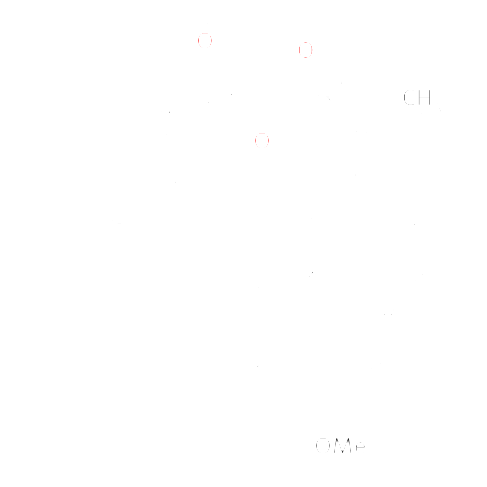 COc1ccc2cc(C(C)C(=O)OC(=O)c3ccccc3)ccc2c1